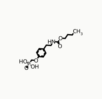 CCCCOC(=O)NCCc1ccc(OCP(=O)(O)O)cc1